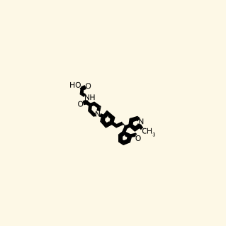 Cc1cc([C@@H](CCc2ccc(N3CCC(C(=O)NCC(=O)O)CC3)cc2)c2ccccc2C=O)ccn1